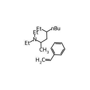 C=Cc1ccccc1.CCCCC(CC)CC(C)N(CC)CC